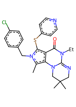 CCN1C(=O)c2c(c(C)n(Cc3ccc(Cl)cc3)c2Sc2ccncc2)N2CC(C)(C)CN=C12